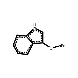 CCCOc1[c][nH]c2ccccc12